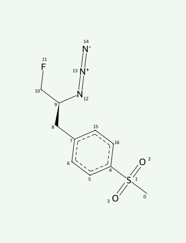 CS(=O)(=O)c1ccc(C[C@@H](CF)N=[N+]=[N-])cc1